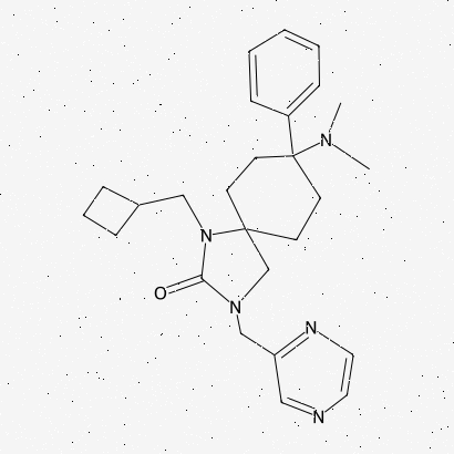 CN(C)C1(c2ccccc2)CCC2(CC1)CN(Cc1cnccn1)C(=O)N2CC1CCC1